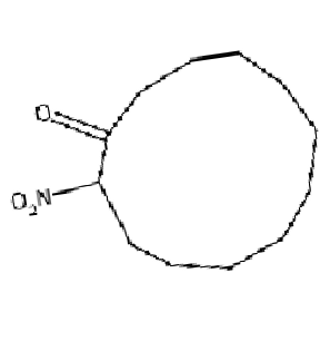 O=C1CCCCCCCCCCC1[N+](=O)[O-]